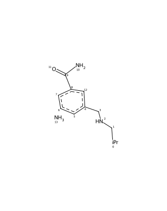 CC(C)CNCc1cccc(C(N)=O)c1.N